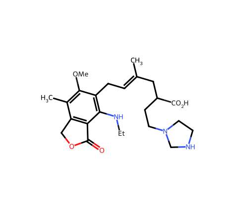 CCNc1c(C/C=C(\C)CC(CCN2CCNC2)C(=O)O)c(OC)c(C)c2c1C(=O)OC2